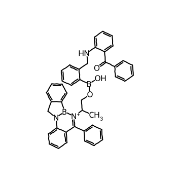 CC(COB(O)c1ccccc1CNc1ccccc1C(=O)c1ccccc1)[N+]1=C(c2ccccc2)c2ccccc2N2Cc3ccccc3B21